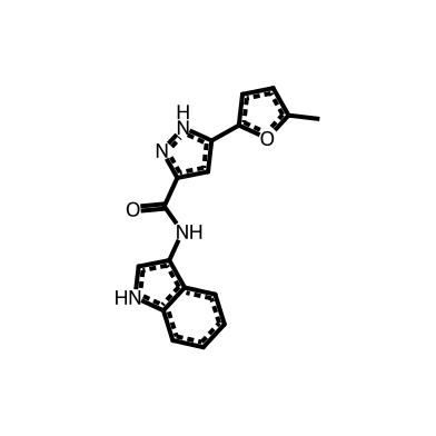 Cc1ccc(-c2cc(C(=O)Nc3c[nH]c4ccccc34)n[nH]2)o1